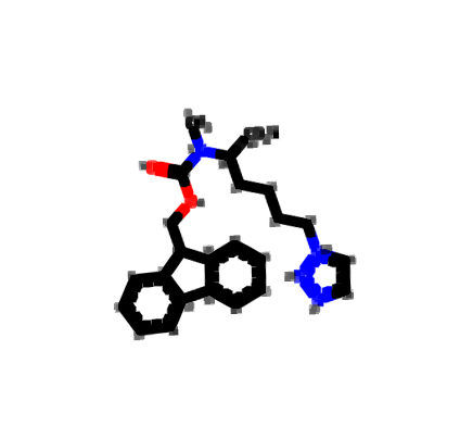 CN(C(=O)OCC1c2ccccc2-c2ccccc21)C(CCCCn1ccnn1)C(=O)O